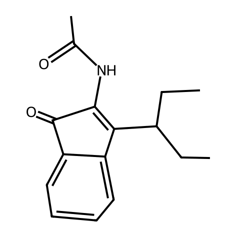 CCC(CC)C1=C(NC(C)=O)C(=O)c2ccccc21